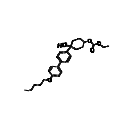 CCCCCOc1ccc(-c2ccc(C3(O)CCC(OC(=O)OCC)CC3)cc2)cc1